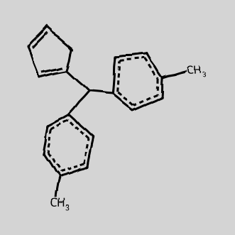 Cc1ccc(C(C2=CC=CC2)c2ccc(C)cc2)cc1